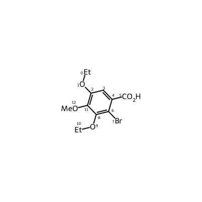 CCOc1cc(C(=O)O)c(Br)c(OCC)c1OC